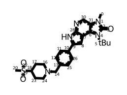 Cn1c(=O)n(C(C)(C)C)c2c3cc(-c4ccc(CN5CCC(S(C)(=O)=O)CC5)cc4)[nH]c3ncc21